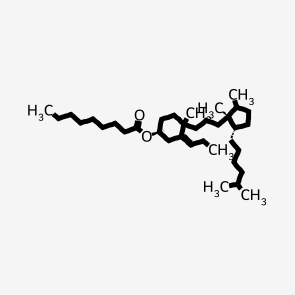 CC/C=C1/C[C@@H](OC(=O)CCCCCCCC)CCC1(C)CCC[C@@]1(C)C(C)CC[C@@H]1CCCCC(C)C